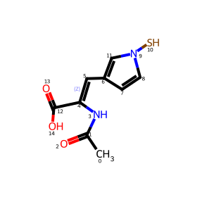 CC(=O)N/C(=C\c1ccn(S)c1)C(=O)O